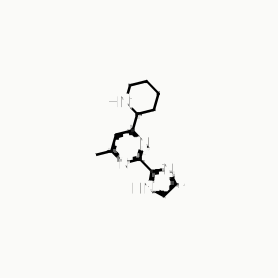 Cc1cc(C2CCCCN2)nc(-c2ncc[nH]2)n1